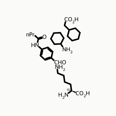 CCCC(=O)Nc1ccc(C=O)cc1.NC1CCCCC1.NCCCC[C@H](N)C(=O)O.O=C(O)CC1CCCCC1